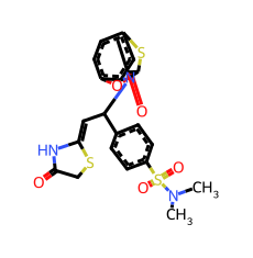 CN(C)S(=O)(=O)c1ccc(C(/C=C2/NC(=O)CS2)N2C(=O)C3Oc4ccc(cc42)S3)cc1